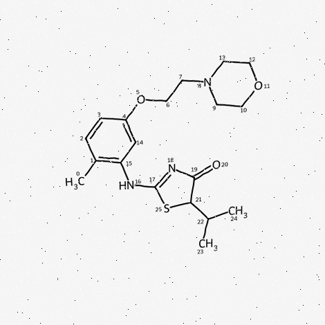 Cc1ccc(OCCN2CCOCC2)cc1NC1=NC(=O)C(C(C)C)S1